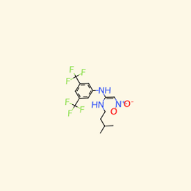 CC(C)CCNC(=C[N+](=O)[O-])Nc1cc(C(F)(F)F)cc(C(F)(F)F)c1